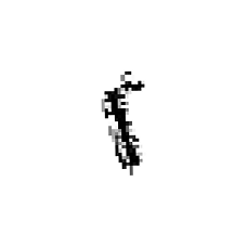 C=CC(=O)OCC(C)C(F)(F)C(F)(F)C(F)(F)C(F)(F)C(F)(F)C(F)(F)C(F)(F)C(F)(F)C(F)(F)F